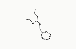 CCCC(N=Cc1ccccc1)OCC